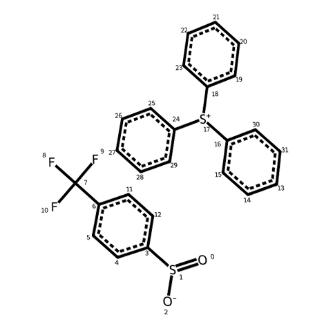 O=S([O-])c1ccc(C(F)(F)F)cc1.c1ccc([S+](c2ccccc2)c2ccccc2)cc1